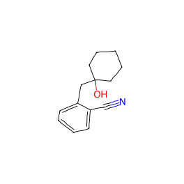 N#Cc1ccccc1CC1(O)CCCCC1